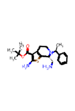 C[C@@H](c1ccccc1)N1CCc2c(sc(N)c2C(=O)OC(C)(C)C)[C@H]1CN